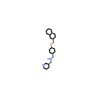 c1cncc(CNCc2ccc(OCc3ccc4ccccc4c3)cc2)c1